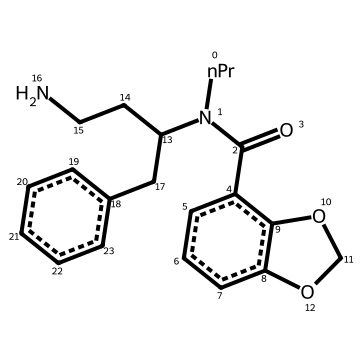 CCCN(C(=O)c1cccc2c1OCO2)C(CCN)Cc1ccccc1